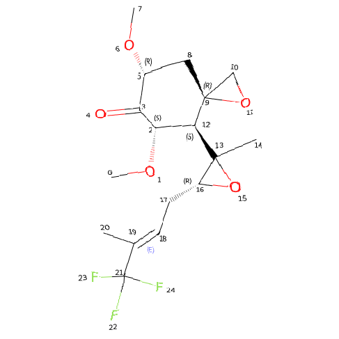 CO[C@@H]1C(=O)[C@H](OC)C[C@]2(CO2)[C@H]1C1(C)O[C@@H]1C/C=C(\C)C(F)(F)F